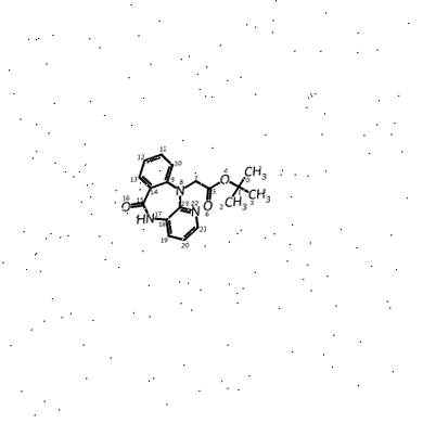 CC(C)(C)OC(=O)CN1c2ccccc2C(=O)Nc2cccnc21